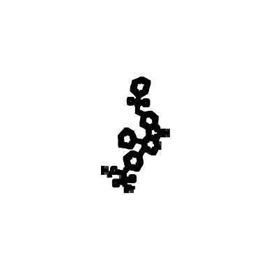 CC(C)S(=O)(=O)N(C)c1ccc(-c2cnc3[nH]c4ccc(CS(=O)(=O)c5ccccc5)cc4c3c2-c2ccccc2)cc1